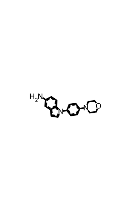 Nc1ccc2c(ccn2-c2ccc(N3CCOCC3)cc2)c1